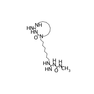 CNC(=O)NC(=N)NCCCCCCCCN1CCCCCCCCNC(=N)NC1=O